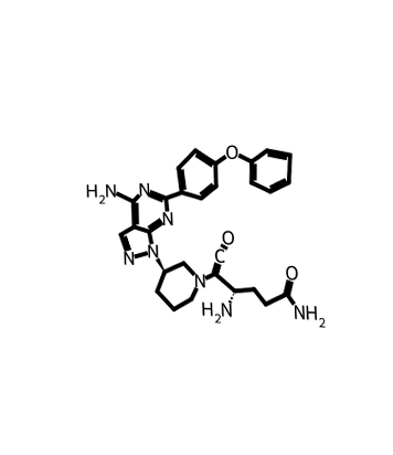 NC(=O)CC[C@H](N)C(=C=O)N1CCC[C@@H](n2ncc3c(N)nc(-c4ccc(Oc5ccccc5)cc4)nc32)C1